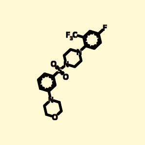 O=S(=O)(c1cccc(N2CCOCC2)c1)N1CCN(c2ccc(F)cc2C(F)(F)F)CC1